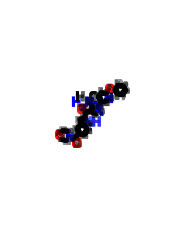 Cc1cc(Oc2ccccc2)ncc1-n1ncc(C(=O)c2cc3cc(C(=O)N4CCOCC4)ccc3[nH]2)c1N